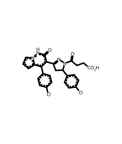 O=C(O)CCC(=O)N1N=C(c2c(-c3ccc(Cl)cc3)c3cccn3[nH]c2=O)CC1c1ccc(Cl)cc1